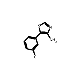 Nc1ncsc1-c1cccc(Cl)c1